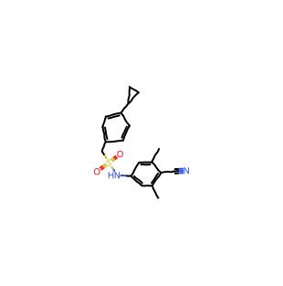 Cc1cc(NS(=O)(=O)Cc2ccc(C3CC3)cc2)cc(C)c1C#N